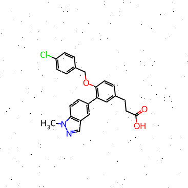 Cn1ncc2cc(-c3cc(CCC(=O)O)ccc3OCc3ccc(Cl)cc3)ccc21